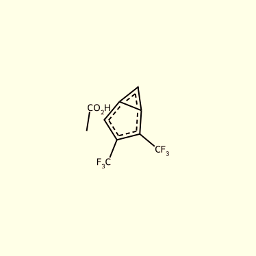 CC(=O)O.FC(F)(F)c1cc2cc-2c1C(F)(F)F